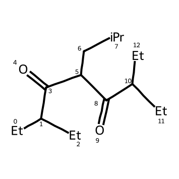 CCC(CC)C(=O)C(CC(C)C)C(=O)C(CC)CC